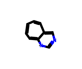 C1=CC=C2[N]C=NC=C2C=C1